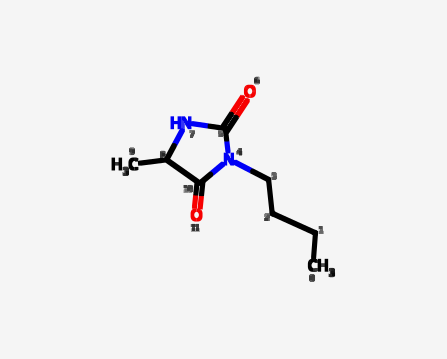 CCCCN1C(=O)NC(C)C1=O